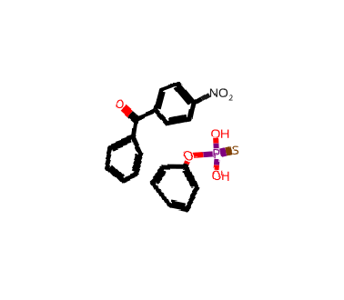 O=C(c1ccccc1)c1ccc([N+](=O)[O-])cc1.OP(O)(=S)Oc1ccccc1